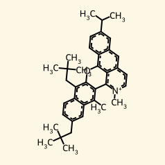 Cc1c2c(c(CC(C)(C)C)c3ccc(CC(C)(C)C)cc13)Oc1c3ccc(C(C)C)cc3cc3cc[n+](C)c-2c13